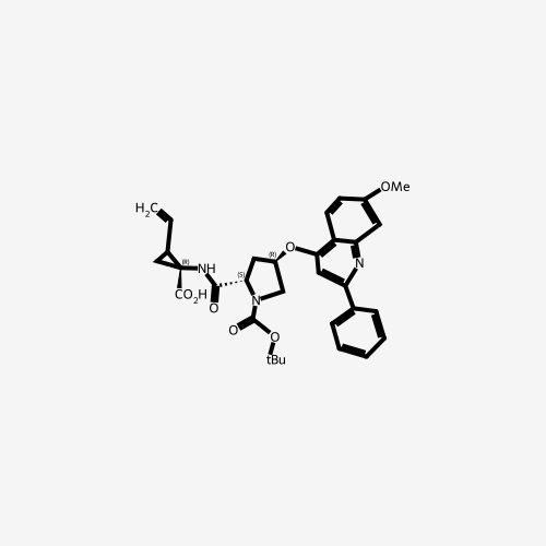 C=CC1C[C@]1(NC(=O)[C@@H]1C[C@@H](Oc2cc(-c3ccccc3)nc3cc(OC)ccc23)CN1C(=O)OC(C)(C)C)C(=O)O